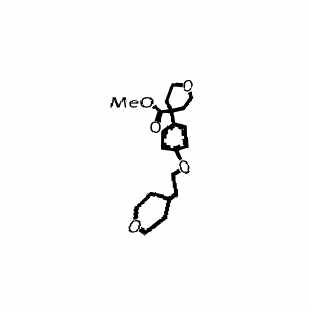 COC(=O)C1(c2ccc(OCCC3CCOCC3)cc2)CCOCC1